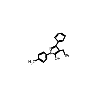 Cc1ccc(-n2nc(-c3ccccc3)c(CC(C)C)c2O)cc1